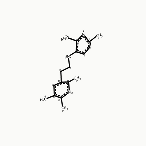 COc1nc(C)ccc1NCCc1cc(C)c(C)nc1C